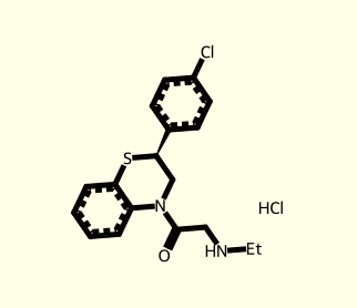 CCNCC(=O)N1C[C@H](c2ccc(Cl)cc2)Sc2ccccc21.Cl